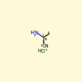 C[C@H](N)C#N.Cl